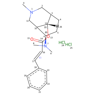 CN1CC2CC[C@@H](N(C)C)C(C1)[C@H]2OC(=O)/C=C/c1ccccc1.Cl.Cl